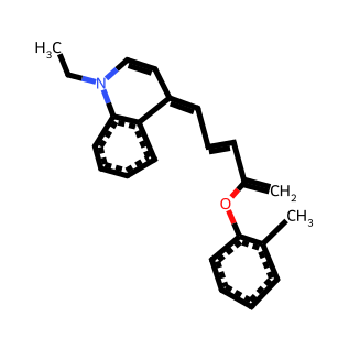 C=C(/C=C/C=C1/C=CN(CC)c2ccccc21)Oc1ccccc1C